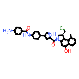 Cc1cccc2c(O)cc3c(c12)[C@H](CCl)CN3C(=O)c1cc(C2=CC=C(NC(=O)c3ccc(N)cc3)CC2)c[nH]1